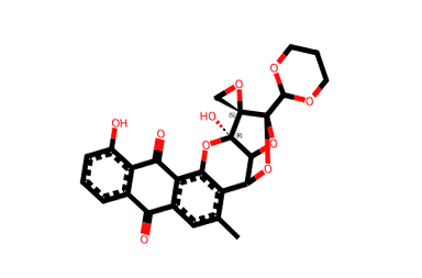 Cc1cc2c(c3c1C1OC4(C5OCCCO5)OC1[C@@](O)(O3)[C@@]41CO1)C(=O)c1c(O)cccc1C2=O